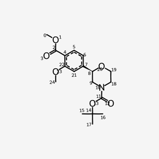 COC(=O)c1ccc([C@@H]2CN(C(=O)OC(C)(C)C)CCO2)cc1OC